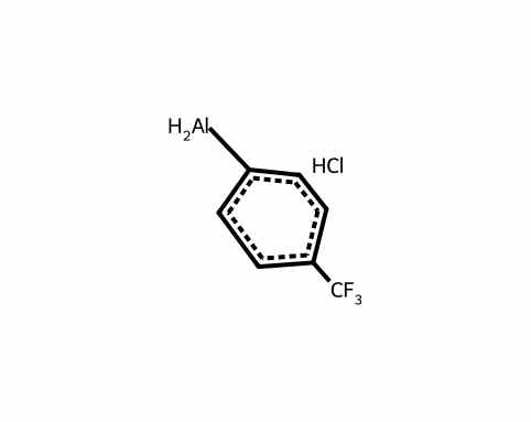 Cl.FC(F)(F)c1cc[c]([AlH2])cc1